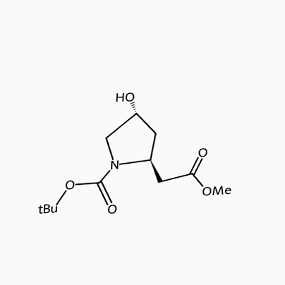 COC(=O)C[C@@H]1C[C@@H](O)CN1C(=O)OC(C)(C)C